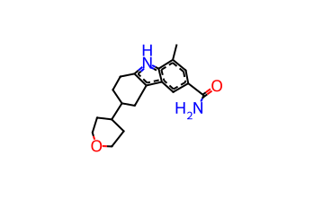 Cc1cc(C(N)=O)cc2c3c([nH]c12)CCC(C1CCOCC1)C3